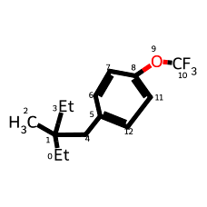 CCC(C)(CC)Cc1ccc(OC(F)(F)F)cc1